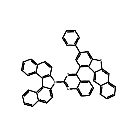 c1ccc(-c2cc(-c3nc(-n4c5ccc6ccccc6c5c5c6ccccc6ccc54)nc4ccccc34)c3c(c2)sc2cc4ccccc4cc23)cc1